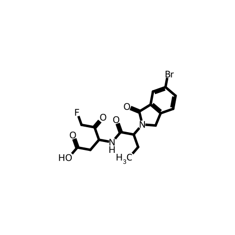 CCC(C(=O)NC(CC(=O)O)C(=O)CF)N1Cc2ccc(Br)cc2C1=O